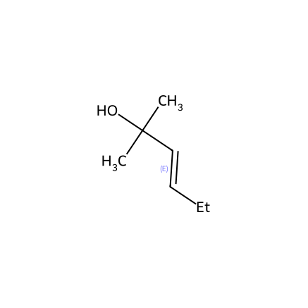 [CH2]C/C=C/C(C)(C)O